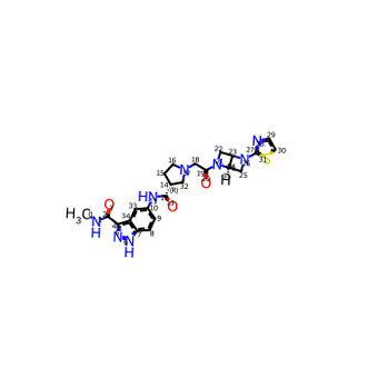 CNC(=O)c1n[nH]c2ccc(NC(=O)[C@@H]3CCN(CC(=O)N4CC5[C@H]4CN5c4nccs4)C3)cc12